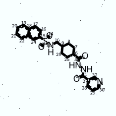 O=C(NNC(=O)C1CCC(CNS(=O)(=O)c2ccc3ccccc3c2)CC1)c1cccnc1